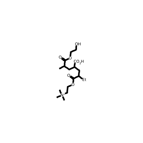 CCC(CC(CC(C)C(=O)OCCO)C(=O)O)C(=O)OCC[N+](C)(C)C